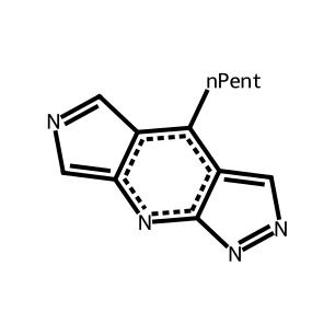 CCCCCc1c2c(nc3c1=CN=N3)=CN=C2